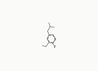 CCc1cc(CC(C)C)ccc1F